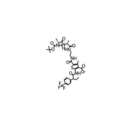 CCC(C(=O)Nc1sc(C(=O)NCCNC(=O)[C@H](C)NC(=O)[C@H](C)NC(=O)OC(C)(C)C)c(C)c1C(=O)OC)c1ccc(C(F)(F)F)cc1